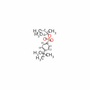 CCC(C)(CC)OS(=O)(=O)c1ccc(C(C)(C)C)cc1